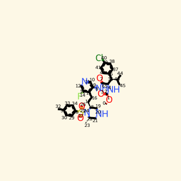 COC(=O)N[C@H](C(=O)Nc1cncc(F)c1CC[C@H]1CNC[C@H](C)N1S(=O)(=O)c1ccc(C)cc1)[C@@H](c1ccc(Cl)cc1)C(C)C